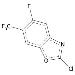 Fc1cc2nc(Cl)oc2cc1C(F)(F)F